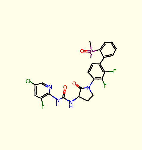 CP(C)(=O)c1ccccc1-c1ccc(N2CC[C@@H](NC(=O)Nc3ncc(Cl)cc3F)C2=O)c(F)c1F